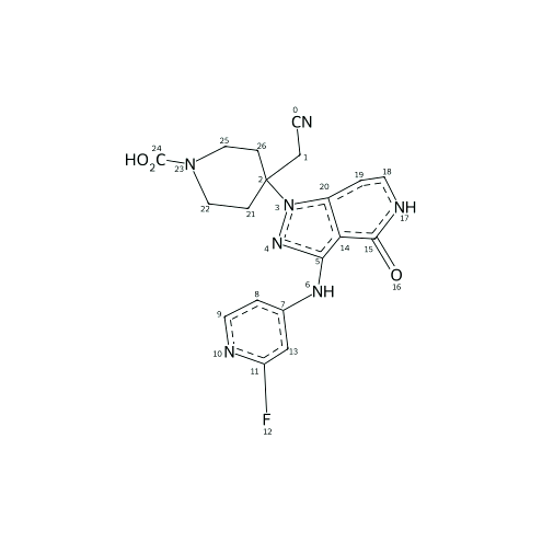 N#CCC1(n2nc(Nc3ccnc(F)c3)c3c(=O)[nH]ccc32)CCN(C(=O)O)CC1